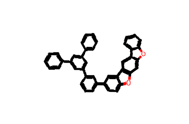 c1ccc(-c2cc(-c3ccccc3)cc(-c3cccc(-c4ccc5oc6cc7oc8ccccc8c7cc6c5c4)c3)c2)cc1